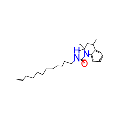 CCCCCCCCCCCCNC(=O)N1c2ccccc2C(C)CC1(C)C